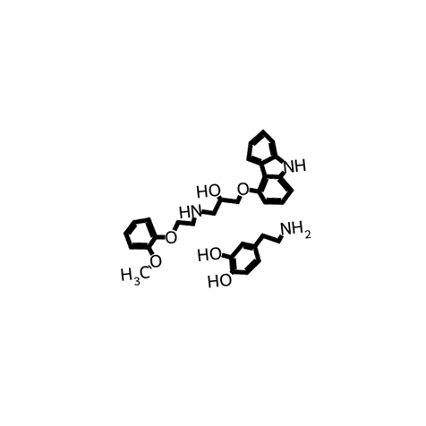 COc1ccccc1OCCNCC(O)COc1cccc2[nH]c3ccccc3c12.NCCc1ccc(O)c(O)c1